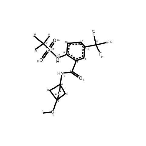 COC12CC(NC(=O)c3cc(C(F)(F)F)ccc3NS(=O)(=O)C(C)(C)C)(C1)C2